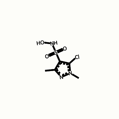 Cc1nn(C)c(Cl)c1S(=O)(=O)NO